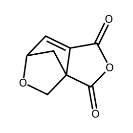 O=C1OC(=O)C23COC(C=C12)C3